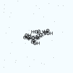 O=C(O)Cc1cc(-c2ccc(C(=O)O)s2)ccc1-c1ccc(-c2ccc(-c3ccc(C(=O)O)s3)cc2CC(=O)O)s1